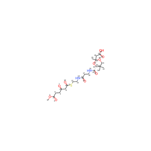 COC(=O)CCC(=O)CC(=O)SCCNC(=O)CCNC(=O)[C@@H]1OC(C)(CC(=O)O)OCC1(C)C